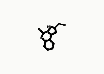 O=c1nc2ccccc2c2cc(CBr)[nH]n12